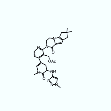 CC(=O)OCc1c(C2=CN(C)C(=O)C(Nc3cn(C)nn3)C2)ccnc1N1CCn2c(cc3c2CC(C)(C)C3)C1=O